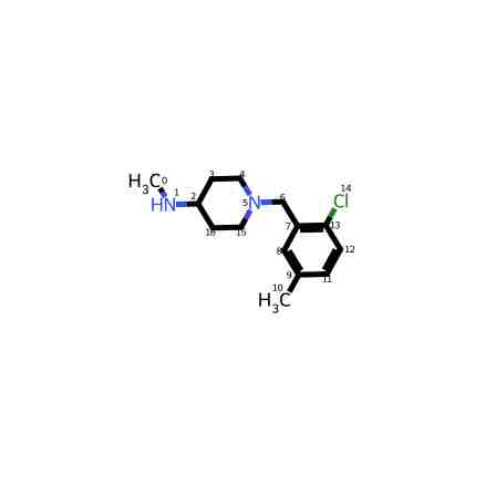 CNC1CCN(Cc2cc(C)ccc2Cl)CC1